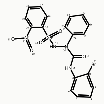 O=C(Nc1ccccc1Br)N(NS(=O)(=O)c1ccccc1[N+](=O)[O-])c1ccccc1